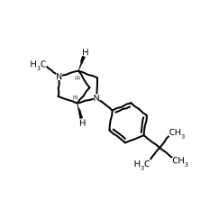 CN1C[C@@H]2C[C@H]1CN2c1ccc(C(C)(C)C)cc1